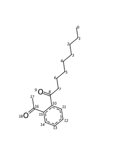 CCCCCCCCC(=O)c1ccccc1C(C)=O